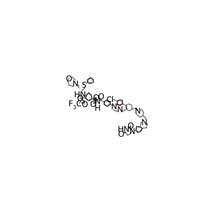 C[C@@]1(CN2CCC(CN3CCc4ccc(N5CCC(=O)NC5=O)cc4C3)CC2)CCC(c2ccc(Cl)cc2)=C(CN2CCN(c3ccc(C(=O)NS(=O)(=O)c4ccc(N[C@H](CCN5CCCOCC5)CSc5ccccc5)c(S(=O)(=O)C(F)(F)F)c4)cc3)CC2)C1